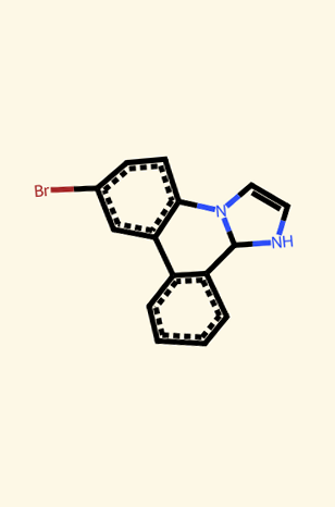 Brc1ccc2c(c1)-c1ccccc1C1NC=CN21